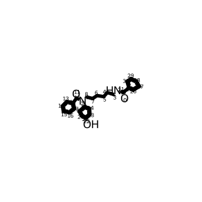 O=C(NCCCCCCN(C(=O)c1ccccc1)c1ccc(O)cc1)c1ccccc1